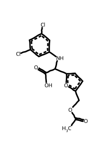 CC(=O)OCc1ccc(C(Nc2cc(Cl)cc(Cl)c2)C(=O)O)o1